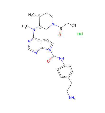 C[C@@H]1CCN(C(=O)CC#N)C[C@@H]1N(C)c1ncnc2c1ccn2C(=O)Nc1ccc(CCN)cc1.Cl